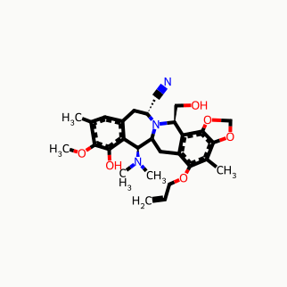 C=CCOc1c(C)c2c(c3c1CC1[C@@H](N(C)C)c4c(cc(C)c(OC)c4O)C[C@H](C#N)N1[C@H]3CO)OCO2